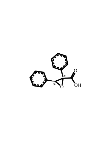 O=C(O)[C@]1(c2ccccc2)O[C@H]1c1ccccc1